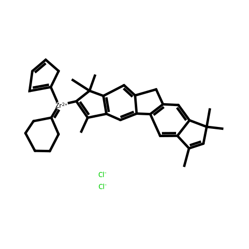 CC1=CC(C)(C)c2cc3c(cc21)-c1cc2c(cc1C3)C(C)(C)[C]([Zr+2]([C]1=CC=CC1)=[C]1CCCCC1)=C2C.[Cl-].[Cl-]